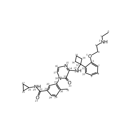 CCNCCOc1ccccc1C1(Nc2nccn(-c3cc(C(=O)NC4CC4)ccc3C)c2=O)CCC1